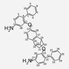 Nc1ccc(-c2ccccc2)c(Oc2ccc3c(c2)C2CCC3C2Oc2cc(N)ccc2-c2ccccc2)c1